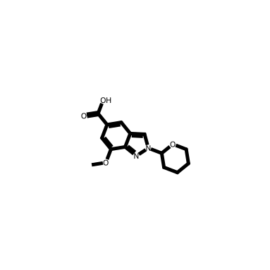 COc1cc(C(=O)O)cc2cn(C3CCCCO3)nc12